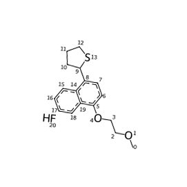 COCCOc1ccc(C2CCCS2)c2ccccc12.F